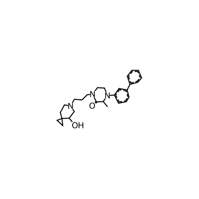 CC1C(=O)N(CCCN2CCC3(CC3)C(O)C2)CCN1c1cccc(-c2ccccc2)c1